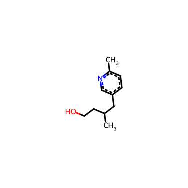 Cc1ccc(CC(C)CCO)cn1